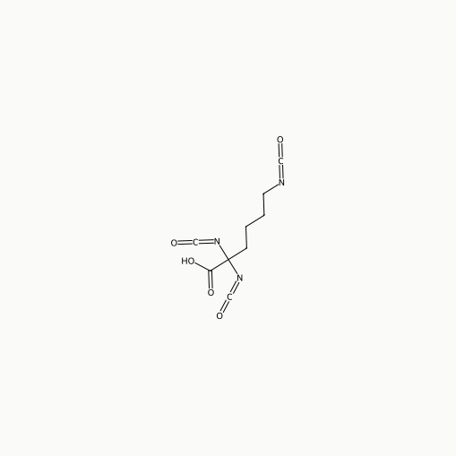 O=C=NCCCCC(N=C=O)(N=C=O)C(=O)O